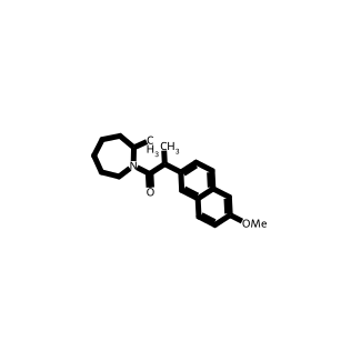 COc1ccc2cc(C(C)C(=O)N3CCCCCC3C)ccc2c1